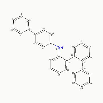 c1ccc(-c2ccc(Nc3ccccc3-c3ccccc3-c3ccccc3)cc2)cc1